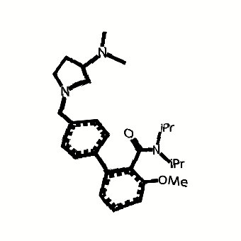 COc1cccc(-c2ccc(CN3CCC(N(C)C)C3)cc2)c1C(=O)N(C(C)C)C(C)C